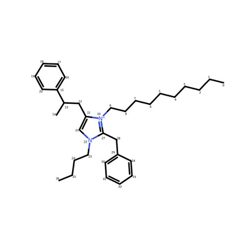 CCCCCCCCCC[n+]1c(CC(C)c2ccccc2)cn(CCCC)c1Cc1ccccc1